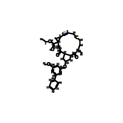 CCOC(=O)C12CC1/C=C/CCCCN(C)C(=O)C1CC(Oc3cc(OC)nc(-c4ccccc4)n3)CC1C(=O)N2